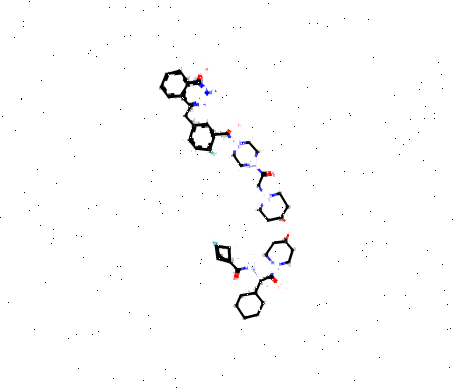 O=C(CN1CCC(OC2CCN(C(=O)[C@H](NC(=O)C34CC(F)(C3)C4)C3CCCCC3)CC2)CC1)N1CCN(C(=O)c2cc(Cc3n[nH]c(=O)c4ccccc34)ccc2F)CC1